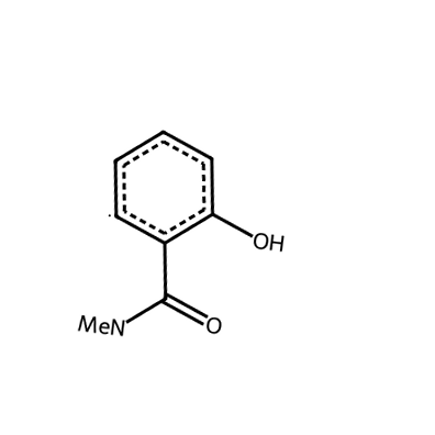 CNC(=O)c1[c]cccc1O